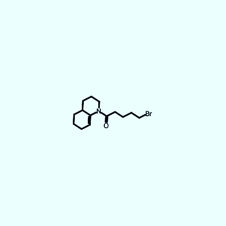 O=C(CCCCBr)N1CCCC2CCCC=C21